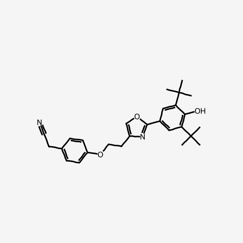 CC(C)(C)c1cc(-c2nc(CCOc3ccc(CC#N)cc3)co2)cc(C(C)(C)C)c1O